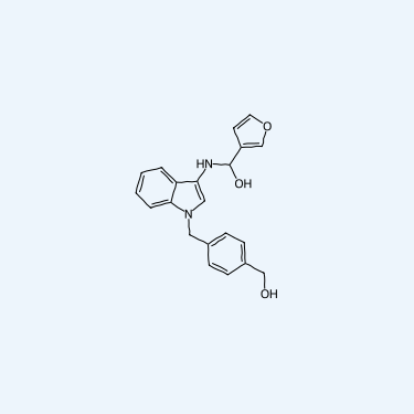 OCc1ccc(Cn2cc(NC(O)c3ccoc3)c3ccccc32)cc1